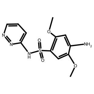 COc1cc(S(=O)(=O)Nc2cccnn2)c(OC)cc1N